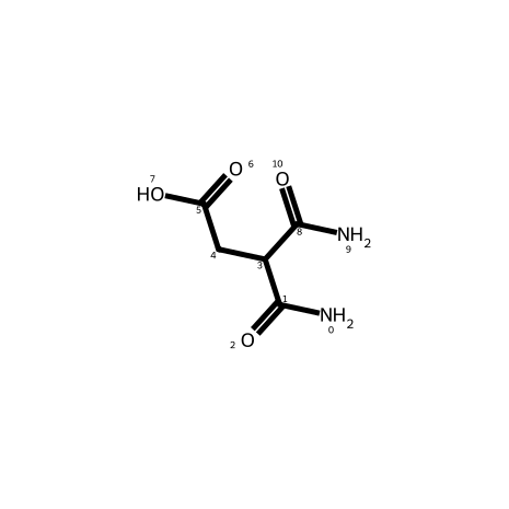 NC(=O)C(CC(=O)O)C(N)=O